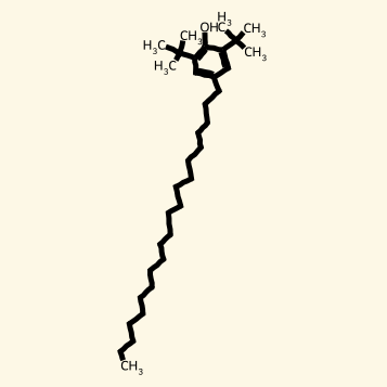 CCCCCCCCCCCCCCCCCCCCCc1cc(C(C)(C)C)c(O)c(C(C)(C)C)c1